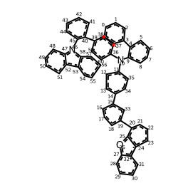 c1ccc(-c2ccccc2N(c2ccc(-c3cccc(-c4cccc5c4oc4ccccc45)c3)cc2)c2ccc(-c3ccccc3-n3c4ccccc4c4ccccc43)cc2)cc1